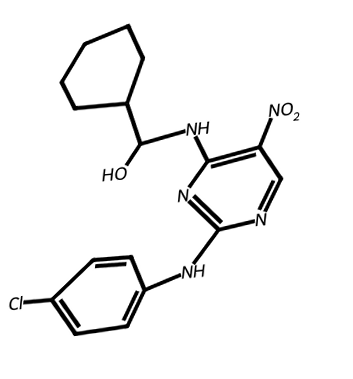 O=[N+]([O-])c1cnc(Nc2ccc(Cl)cc2)nc1NC(O)C1CCCCC1